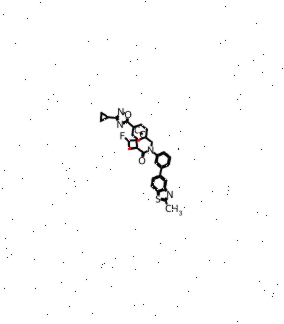 Cc1nc2cc(-c3cccc(N(CC45CCC(c6nc(C7CC7)no6)(CC4)CC5)C(=O)C45CC(F)(C4)C5)c3)ccc2s1